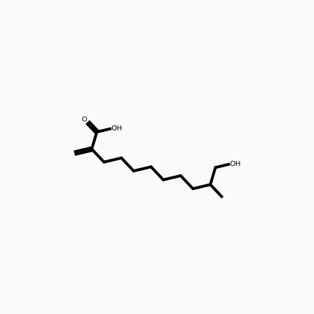 C=C(CCCCCCCC(C)CO)C(=O)O